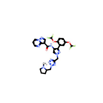 CN1CCCC1Cn1nnc(Cn2cc(NC(=O)c3cnn4cccnc34)c(-c3cc(OC(F)F)ccc3OC(F)F)n2)n1